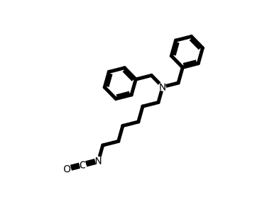 O=C=NCCCCCCN(Cc1ccccc1)Cc1ccccc1